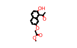 COC(=O)COc1ccc2ccc(O)c(C(C)=O)c2c1